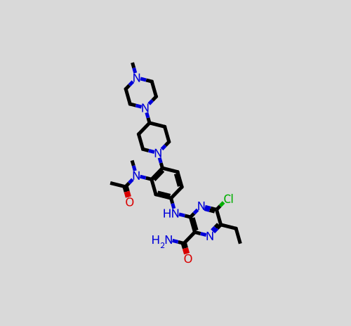 CCc1nc(C(N)=O)c(Nc2ccc(N3CCC(N4CCN(C)CC4)CC3)c(N(C)C(C)=O)c2)nc1Cl